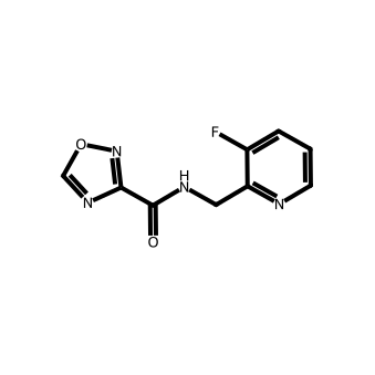 O=C(NCc1ncccc1F)c1ncon1